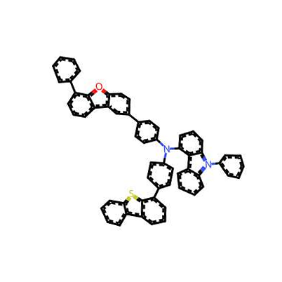 c1ccc(-c2cccc3c2oc2ccc(-c4ccc(N(c5ccc(-c6cccc7c6sc6ccccc67)cc5)c5cccc6c5c5ccccc5n6-c5ccccc5)cc4)cc23)cc1